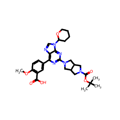 COc1ccc(-c2nc(N3CC4CN(C(=O)OC(C)(C)C)CC4C3)nc3c2ncn3C2CCCCO2)cc1C(=O)O